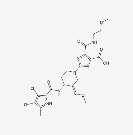 COCCNC(=O)c1nc(N2CCC(NC(=O)c3[nH]c(C)c(Cl)c3Cl)C(=NOC)C2)sc1C(=O)O